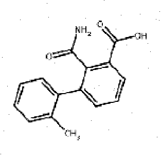 Cc1ccccc1-c1cccc(C(=O)O)c1C(N)=O